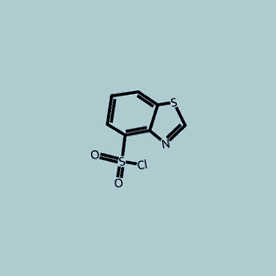 O=S(=O)(Cl)c1cccc2scnc12